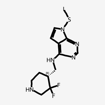 FC1(F)CNCC[C@@H]1CNc1ncnc2c1ccn2SI